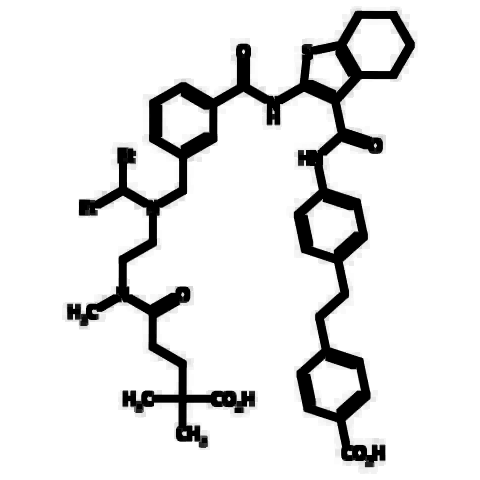 CCC(CC)N(CCN(C)C(=O)CCC(C)(C)C(=O)O)Cc1cccc(C(=O)Nc2sc3c(c2C(=O)Nc2ccc(CCc4ccc(C(=O)O)cc4)cc2)CCCC3)c1